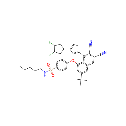 CCCCCNS(=O)(=O)c1ccc(Oc2cc(C(C)(C)C)cc3cc(C#N)c(C#N)c(C4=CC(C5CC(F)C(F)C5)=CC4)c23)cc1